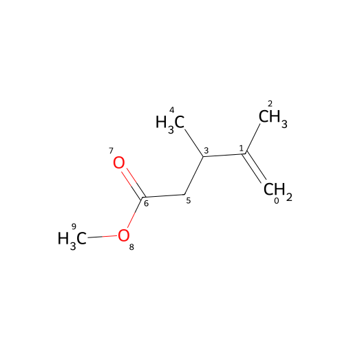 C=C(C)C(C)CC(=O)OC